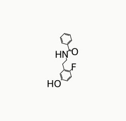 O=C(NCCc1cc(O)ccc1F)c1ccccc1